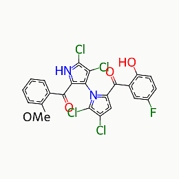 COc1ccccc1C(=O)c1[nH]c(Cl)c(Cl)c1-n1c(C(=O)c2cc(F)ccc2O)cc(Cl)c1Cl